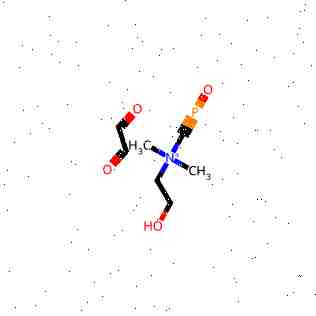 C[N+](C)(C#P=O)CCO.O=CC=O